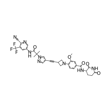 COc1cc(C(=O)NC2CCC(=O)NC2=O)ccc1N1CC(C#Cc2cnn(C(C)(C)C(=O)Nc3cnc(C#N)c(C(F)(F)F)c3)c2)C1